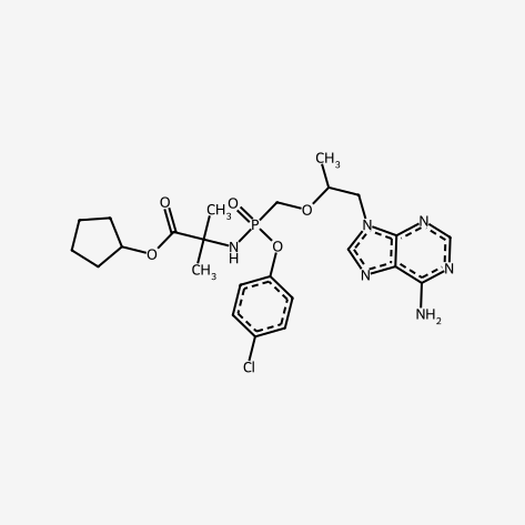 CC(Cn1cnc2c(N)ncnc21)OCP(=O)(NC(C)(C)C(=O)OC1CCCC1)Oc1ccc(Cl)cc1